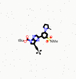 CNS(=O)(=O)c1cc(-c2cnc3c(n2)c(C#C[Si](C)(C)C)cn3C(=O)OC(C)(C)C)cc(N2CCC[C@H]2C)c1